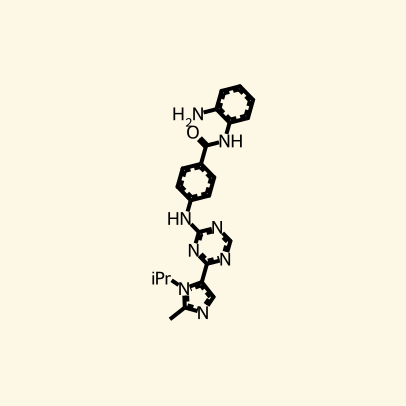 Cc1ncc(-c2ncnc(Nc3ccc(C(=O)Nc4ccccc4N)cc3)n2)n1C(C)C